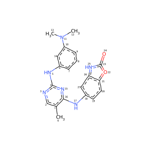 Cc1cnc(Nc2cccc(N(C)C)c2)nc1Nc1ccc2oc(=O)[nH]c2c1